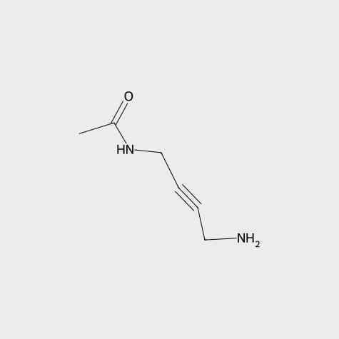 CC(=O)NCC#CCN